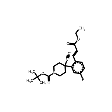 [C-]#[N+]C1(c2cc(F)ccc2/C=C/C(=O)OCC)CCN(C(=O)OC(C)(C)C)CC1